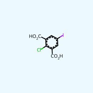 O=C(O)c1cc(I)cc(C(=O)O)c1Cl